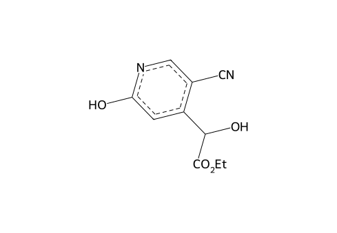 CCOC(=O)C(O)c1cc(O)ncc1C#N